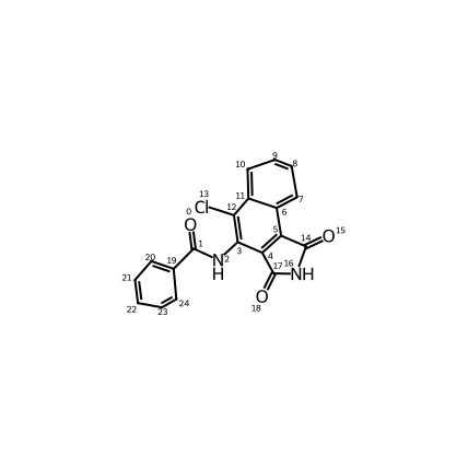 O=C(Nc1c2c(c3ccccc3c1Cl)C(=O)NC2=O)c1ccccc1